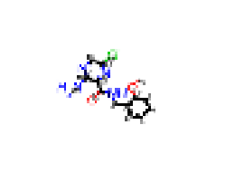 COc1ccccc1CNC(=O)c1nc(Cl)cnc1N